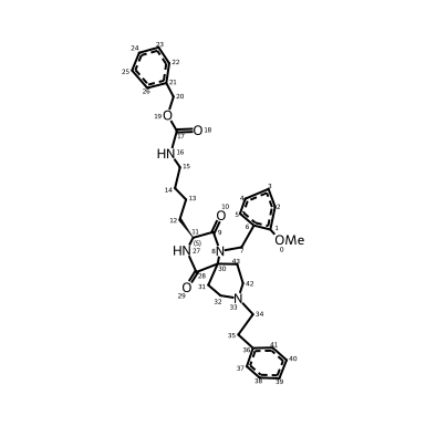 COc1ccccc1CN1C(=O)[C@H](CCCCNC(=O)OCc2ccccc2)NC(=O)C12CCN(CCc1ccccc1)CC2